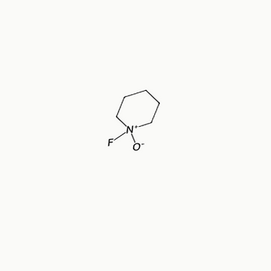 [O-][N+]1(F)CCCCC1